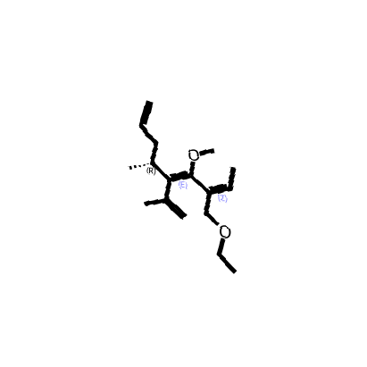 C=CC[C@@H](C)/C(C(=C)C)=C(OC)/C(=C\C)COCC